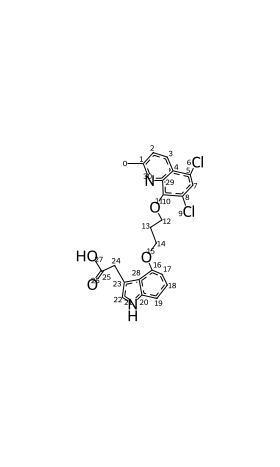 Cc1ccc2c(Cl)cc(Cl)c(OCCCOc3cccc4[nH]cc(CC(=O)O)c34)c2n1